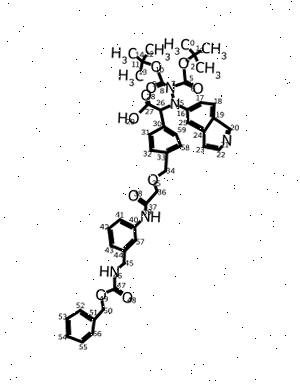 CC(C)(C)OC(=O)N(C(=O)OC(C)(C)C)N(c1ccc2cnccc2c1)C(C(=O)O)c1ccc(COCC(=O)Nc2cccc(CNC(=O)OCc3ccccc3)c2)cc1